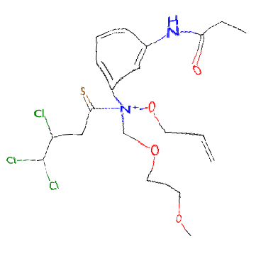 C=CCO[N+](COCCOC)(C(=S)CC(Cl)C(Cl)Cl)c1cccc(NC(=O)CC)c1